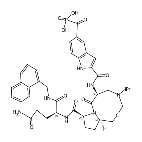 CC(C)N1CCC[C@H]2CC[C@@H](C(=O)N[C@@H](CCC(N)=O)C(=O)NCc3cccc4ccccc34)N2C(=O)[C@@H](NC(=O)c2cc3cc(C(=O)P(=O)(O)O)ccc3[nH]2)C1